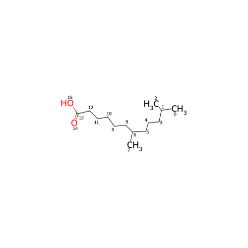 CC(C)CCCC(C)CCCCCC(=O)O